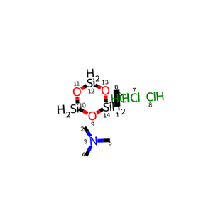 C=C.CN(C)C.Cl.Cl.Cl.O1[SiH2]O[SiH2]O[SiH2]1